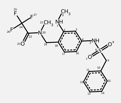 CNc1cc(NS(=O)(=O)Cc2ccccc2)ccc1CN(C)C(=O)C(F)(F)F